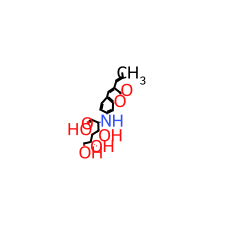 CC=Cc1cc2ccc(N[C@@H](C=O)[C@@H](O)[C@H](O)[C@H](O)CO)cc2oc1=O